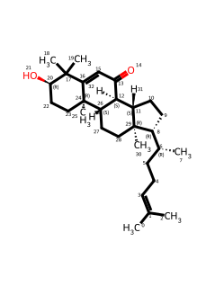 CC(C)=CCC[C@@H](C)[C@H]1CC[C@H]2[C@@H]3C(=O)C=C4C(C)(C)[C@H](O)CC[C@]4(C)[C@H]3CC[C@]12C